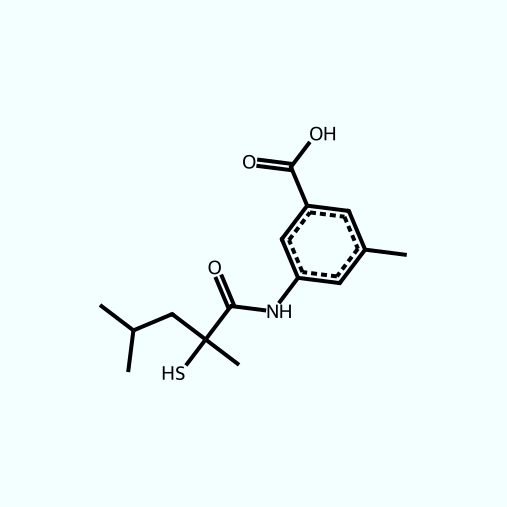 Cc1cc(NC(=O)C(C)(S)CC(C)C)cc(C(=O)O)c1